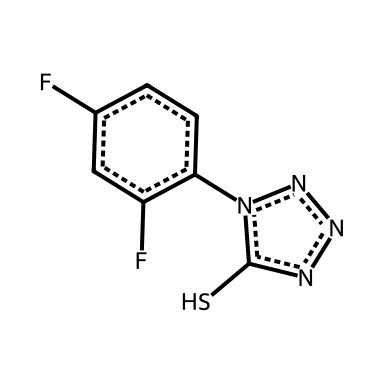 Fc1ccc(-n2nnnc2S)c(F)c1